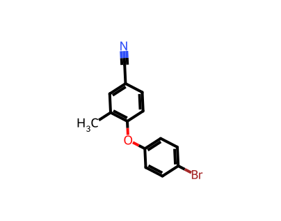 Cc1cc(C#N)ccc1Oc1ccc(Br)cc1